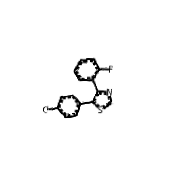 Fc1ccccc1-c1n[c]sc1-c1ccc(Cl)cc1